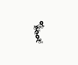 CCC(C(=O)O)c1ccc(-c2ccc(-c3onc(C)c3NC(=O)OC(C)c3ccccc3)cn2)cc1